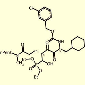 CCCCCN(C)C(=O)CC[C@H](NC(=O)[C@H](CC1CCCCC1)NC(=O)OCc1cccc(Cl)c1)C(O)P(=O)(OCC)OCC